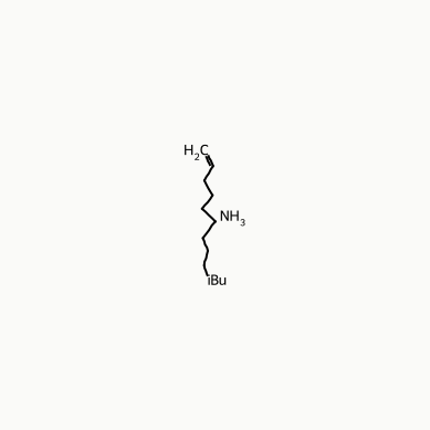 C=CCCCCCCCC(C)CC.N